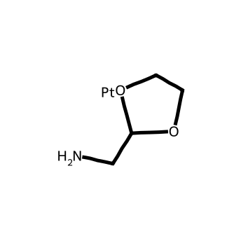 NCC1OCCO1.[Pt]